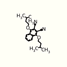 CC(C)CCOc1c(C#N)c(C#N)c(OCCC(C)C)c2ccccc12